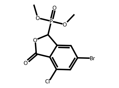 COP(=O)(OC)C1OC(=O)c2c(Cl)cc(Br)cc21